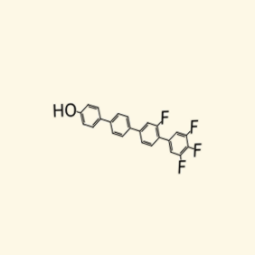 Oc1ccc(-c2ccc(-c3ccc(-c4cc(F)c(F)c(F)c4)c(F)c3)cc2)cc1